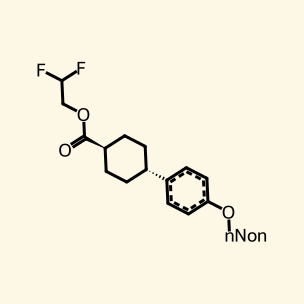 CCCCCCCCCOc1ccc([C@H]2CC[C@H](C(=O)OCC(F)F)CC2)cc1